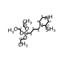 CCO[Si](CCCN1CCNCC1[SiH3])(OCC)OCC